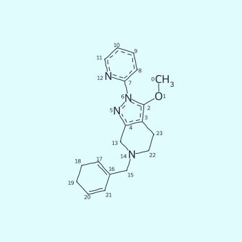 COc1c2c(nn1-c1ccccn1)CN(CC1=CCCC=C1)CC2